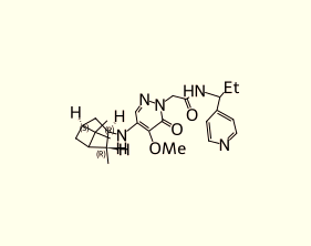 CCC(NC(=O)Cn1ncc(N[C@@H]2C[C@@H]3CC([C@H]2C)C3(C)C)c(OC)c1=O)c1ccncc1